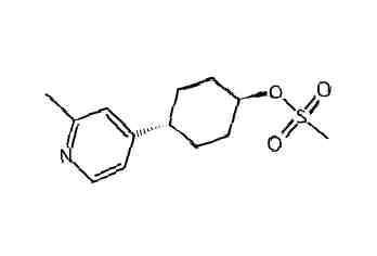 Cc1cc([C@H]2CC[C@H](OS(C)(=O)=O)CC2)ccn1